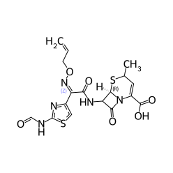 C=CCO/N=C(\C(=O)NC1C(=O)N2C(C(=O)O)=CC(C)S[C@H]12)c1csc(NC=O)n1